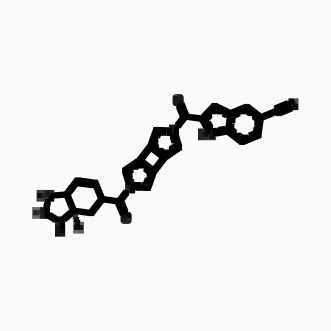 N#Cc1ccc2[nH]c(C(=O)n3cc4c(c3)-c3cn(C(=O)C5C=CC6NNN[C@@H]6C5)cc3-4)cc2c1